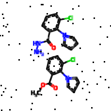 COC(=O)c1cccc(Cl)c1-n1cccc1.NNC(=O)c1cccc(Cl)c1-n1cccc1